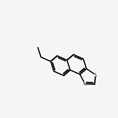 CCc1ccc2c(ccc3scnc32)c1